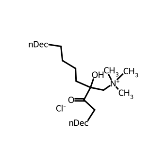 CCCCCCCCCCCCCCC(O)(C[N+](C)(C)C)C(=O)CCCCCCCCCCC.[Cl-]